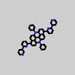 c1ccc(-n2c3ccc4c(-c5cccc(-c6cccnc6)n5)ccc5c4c3-c3c4c(ccc3n5-c3ccccc3)c(-c3cccc(-c5cccnc5)n3)ccc42)cc1